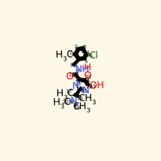 Cc1ccc(Cl)cc1CNC(=O)c1nc(C(C)(C)N(C)C)nc(O)c1O